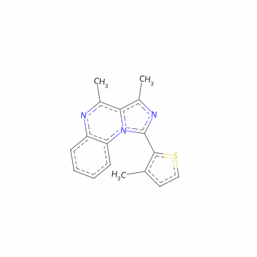 Cc1ccsc1-c1nc(C)c2c(C)nc3ccccc3n12